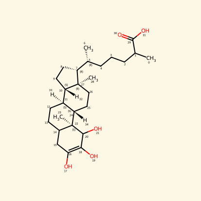 CC(CCC[C@@H](C)[C@H]1CC[C@H]2[C@@H]3CCC4CC(O)=C(O)C(O)[C@]4(C)[C@H]3CC[C@]12C)C(=O)O